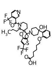 CCC[C@H]1N(C(=O)c2cnccc2C(F)(F)F)CCC[C@@]1(Oc1csc(C(F)(F)F)c1)C(=O)N1CCC(O)(c2ccccc2OCCCCCC(=O)O)CC1